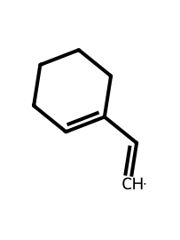 [CH]=CC1=CCCCC1